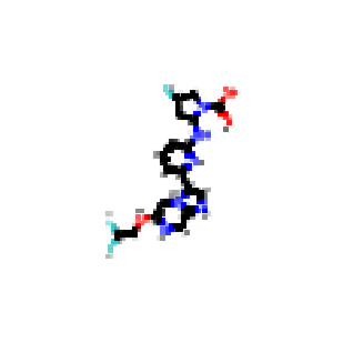 O=C(O)N1CC(F)CC1Nc1cccc(-c2cnc3cnc(OCC(F)F)cn23)n1